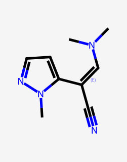 CN(C)/C=C(/C#N)c1ccnn1C